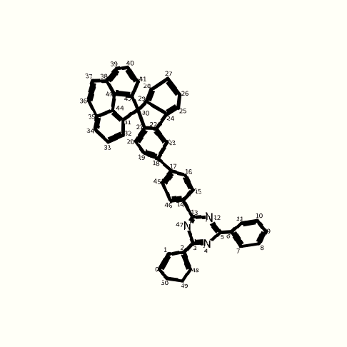 C1=CC(c2nc(-c3ccccc3)nc(-c3ccc(-c4ccc5c(c4)-c4ccccc4C54c5cccc6ccc7cccc4c7c56)cc3)n2)=CCC1